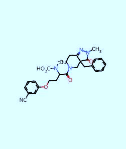 CN1N=C2CCN(C(=O)C(CCOc3cccc(C#N)c3)N(C(=O)O)C(C)(C)C)CC2(Cc2ccccc2)C1=O